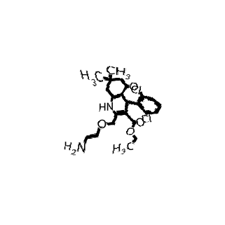 CCOC(=O)C1=C(COCCN)NC2=C(C(=O)CC(C)(C)C2)C1c1c(Cl)cccc1Cl